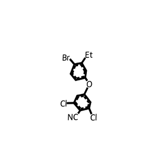 CCc1cc(Oc2cc(Cl)c(C#N)c(Cl)c2)ccc1Br